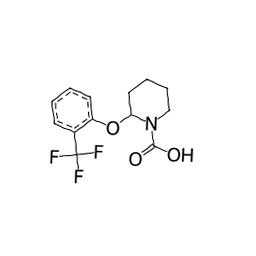 O=C(O)N1CCCCC1Oc1ccccc1C(F)(F)F